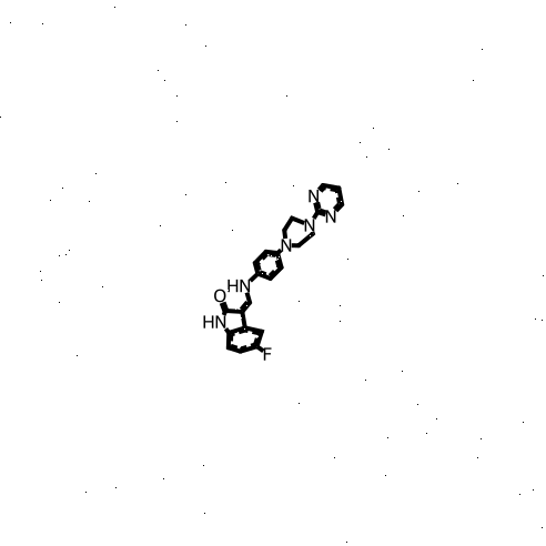 O=C1Nc2ccc(F)cc2C1=CNc1ccc(N2CCN(c3ncccn3)CC2)cc1